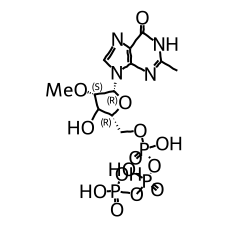 CO[C@H]1C(O)[C@@H](COP(=O)(O)OP(=O)(O)OP(=O)(O)O)O[C@H]1n1cnc2c(=O)[nH]c(C)nc21